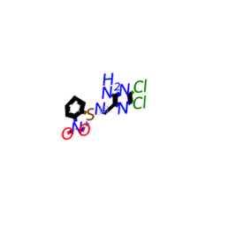 Nc1nc(Cl)c(Cl)nc1/C=N/Sc1ccccc1[N+](=O)[O-]